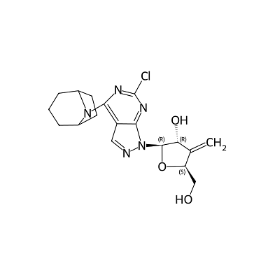 C=C1[C@@H](O)[C@H](n2ncc3c(N4C5CCCC4CC5)nc(Cl)nc32)O[C@@H]1CO